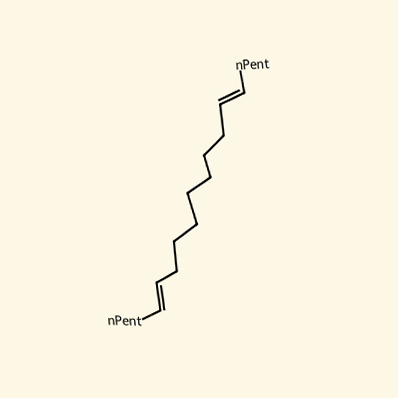 CCCCCC=CCCCCCCCC=CCCCCC